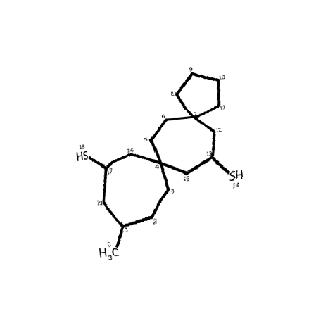 CC1CCC2(CCC3(CCCC3)CC(S)C2)CC(S)C1